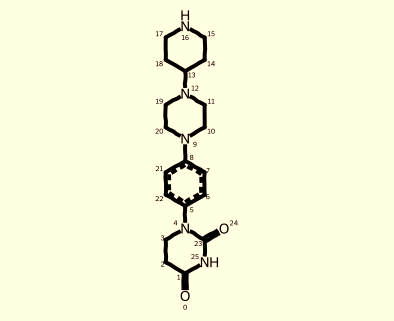 O=C1CCN(c2ccc(N3CCN(C4CCNCC4)CC3)cc2)C(=O)N1